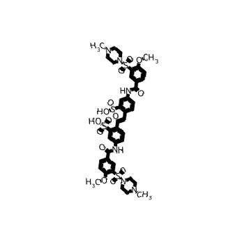 COc1ccc(C(=O)Nc2ccc(C=Cc3ccc(NC(=O)c4ccc(OC)c(S(=O)(=O)N5CCN(C)CC5)c4)cc3S(=O)(=O)O)c(S(=O)(=O)O)c2)cc1S(=O)(=O)N1CCN(C)CC1